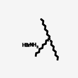 Br.CCCCCCCCP(CCCCCCCC)CCCCCCCC.N